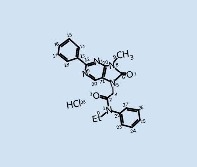 CCN(C(=O)Cn1c(=O)n(C)c2nc(-c3ccccc3)ncc21)c1ccccc1.Cl